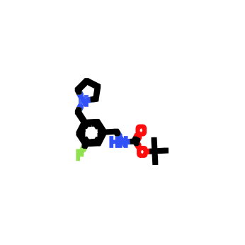 CC(C)(C)OC(=O)NCc1cc(F)cc(CN2CCCC2)c1